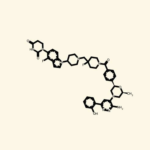 C[C@H]1CN(c2cc(-c3ccccc3O)nnc2N)C[C@@H](c2ccc(C(=O)N3CCC(F)(CN4CCC(n5ccc6c(F)c(N7CCC(=O)NC7=O)ccc65)CC4)CC3)cc2)O1